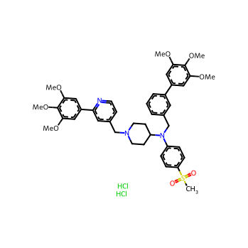 COc1cc(-c2cccc(CN(c3ccc(S(C)(=O)=O)cc3)C3CCN(Cc4ccnc(-c5cc(OC)c(OC)c(OC)c5)c4)CC3)c2)cc(OC)c1OC.Cl.Cl